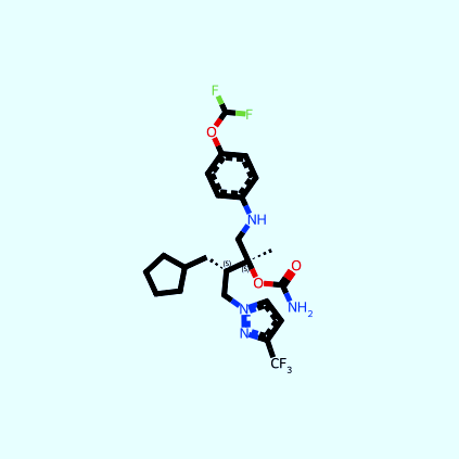 C[C@](CNc1ccc(OC(F)F)cc1)(OC(N)=O)[C@@H](CC1CCCC1)Cn1ccc(C(F)(F)F)n1